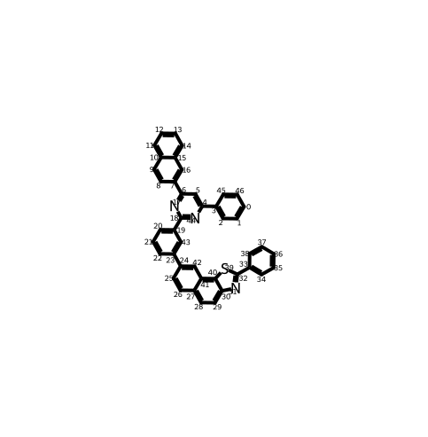 c1ccc(-c2cc(-c3ccc4ccccc4c3)nc(-c3cccc(-c4ccc5ccc6nc(-c7ccccc7)sc6c5c4)c3)n2)cc1